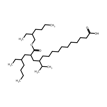 CCCCC(CC)COC(=O)C(CC(CC)CCCC)CC(CCCCCCCCCCC(=O)O)C(C)C